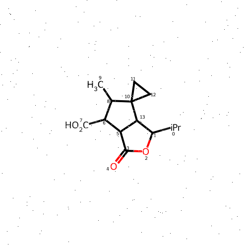 CC(C)C1OC(=O)C2C(C(=O)O)C(C)C3(CC3)C12